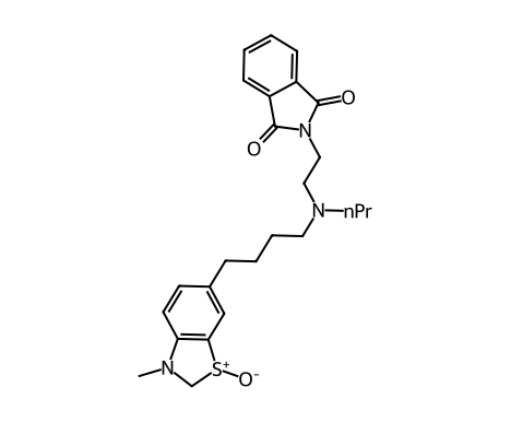 CCCN(CCCCc1ccc2c(c1)[S+]([O-])CN2C)CCN1C(=O)c2ccccc2C1=O